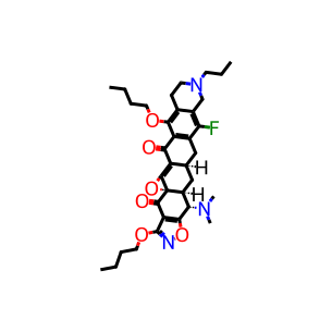 CCCCOc1noc2c1C(=O)[C@@]13OC1=C1C(=O)c4c(c(F)c5c(c4OCCCC)CCN(CCC)C5)C[C@H]1C[C@H]3[C@@H]2N(C)C